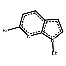 CCn1ccc2ccc(Br)nc21